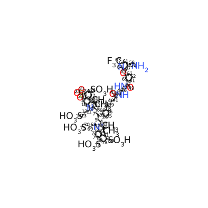 CC1(C)C(/C=C/C(=C/C=C2\N(CCCS(=O)(=O)O)c3ccc4c(S(=O)(=O)[O-])cc(S(=O)(=O)O)cc4c3C2(C)C)c2cccc(CCCCC(=O)NCCNC(=O)c3cccc(Oc4cc(CN)cc(C(F)(F)F)n4)c3)c2)=[N+](CCCS(=O)(=O)O)c2ccc3c(S(=O)(=O)O)cc(S(=O)(=O)O)cc3c21